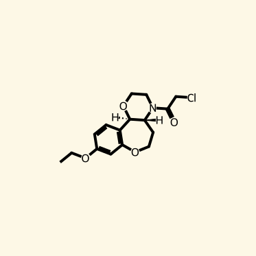 CCOc1ccc2c(c1)OCC[C@@H]1[C@@H]2OCCN1C(=O)CCl